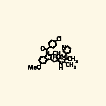 COc1ccc2c(c1)c(CC(=O)NC(C)[Si](C)(C)c1cccnc1)c(C)n2C(=O)c1ccc(Cl)cc1